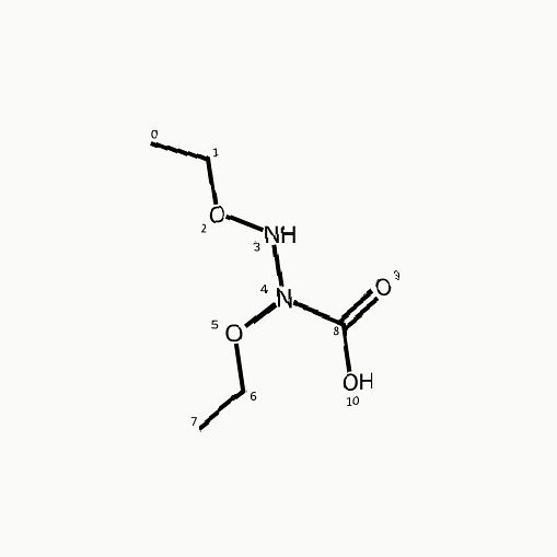 CCONN(OCC)C(=O)O